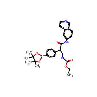 CCOC(=O)NCC(C(=O)Nc1ccc2cnccc2c1)c1ccc(B2OC(C)(C)C(C)(C)O2)cc1